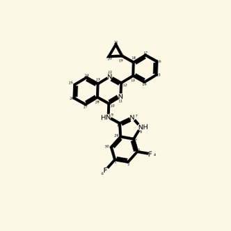 Fc1cc(F)c2[nH]nc(Nc3nc(-c4ccccc4C4CC4)nc4ccccc34)c2c1